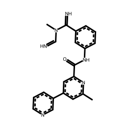 Cc1cc(-c2cccnc2)cc(C(=O)Nc2cccc(C(=N)N(C)C=N)c2)n1